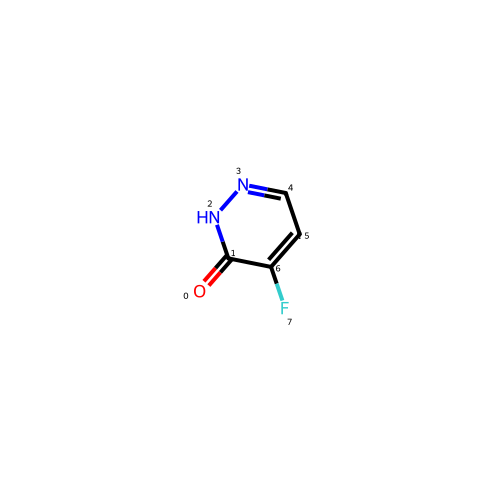 O=c1[nH]nc[c]c1F